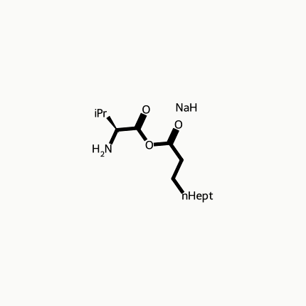 CCCCCCCCCC(=O)OC(=O)[C@@H](N)C(C)C.[NaH]